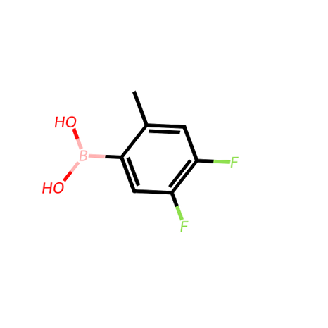 Cc1cc(F)c(F)cc1B(O)O